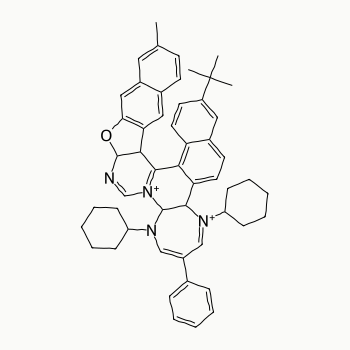 Cc1ccc2cc3c(cc2c1)OC1N=C[N+]2=C(c4c(ccc5cc(C(C)(C)C)ccc45)C4C2N(C2CCCCC2)C=C(c2ccccc2)C=[N+]4C2CCCCC2)C31